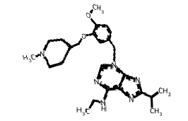 CCNc1ncn(Cc2ccc(OC)c(OCC3CCN(C)CC3)c2)c2nc(C(C)C)nc1-2